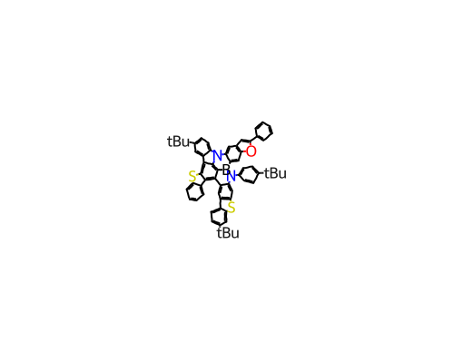 CC(C)(C)c1ccc(N2B3c4cc5oc(-c6ccccc6)cc5cc4-n4c5ccc(C(C)(C)C)cc5c5c6sc7ccccc7c6c(c3c54)-c3cc4c(cc32)sc2cc(C(C)(C)C)ccc24)cc1